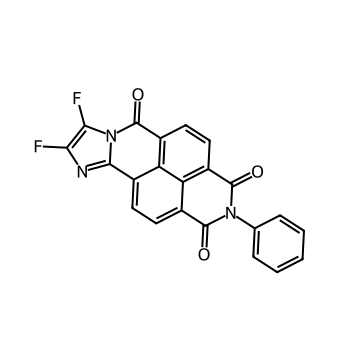 O=C1c2ccc3c(=O)n4c(F)c(F)nc4c4ccc(c2c34)C(=O)N1c1ccccc1